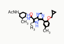 CC(=O)N[C@H]1CC[C@H](NC(=O)c2c(C)[nH]c3c(-c4cc(C)ccc4OCC4CC4)ncnc23)[C@H](C)C1